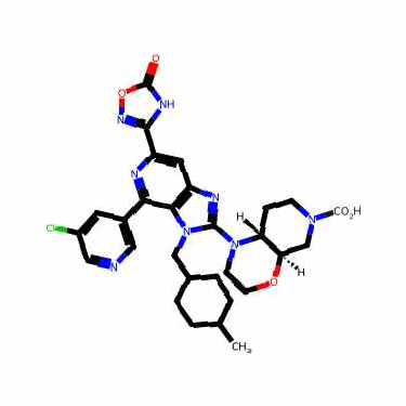 CC1CCC(Cn2c(N3CCO[C@@H]4CN(C(=O)O)CC[C@H]43)nc3cc(-c4noc(=O)[nH]4)nc(-c4cncc(Cl)c4)c32)CC1